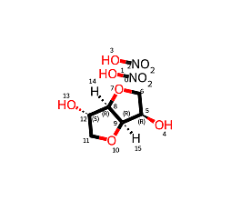 O=[N+]([O-])O.O=[N+]([O-])O.O[C@@H]1CO[C@H]2[C@@H]1OC[C@@H]2O